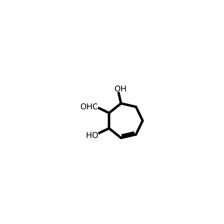 O=CC1C(O)C=CCCC1O